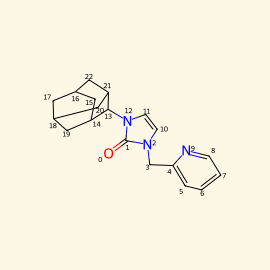 O=c1n(Cc2ccccn2)ccn1C1C2CC3CC(C2)CC1C3